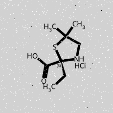 CC[C@]1(C(=O)O)NCC(C)(C)S1.Cl